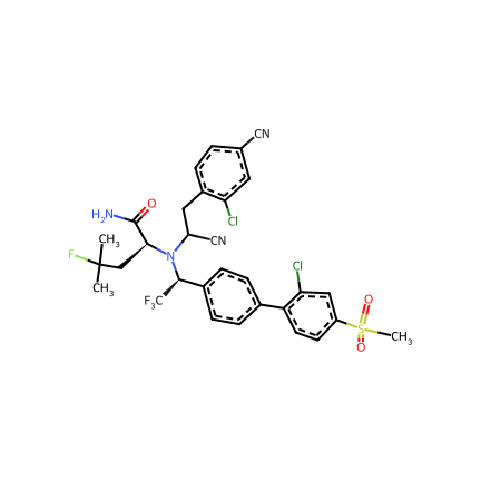 CC(C)(F)C[C@@H](C(N)=O)N(C(C#N)Cc1ccc(C#N)cc1Cl)[C@@H](c1ccc(-c2ccc(S(C)(=O)=O)cc2Cl)cc1)C(F)(F)F